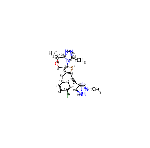 CN/C=C(/C#Cc1sc2c(c1Cc1ccc(F)cc1)CO[C@@H](C)c1nnc(C)n1-2)C=N